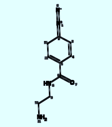 [N-]=[N+]=C1C=CC(C(=O)NCCN)=CC1